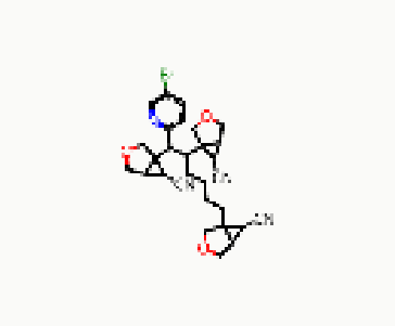 N#CC1C2COCC12CCCCC(C(c1ccc(Br)cn1)C12COCC1C2C#N)C12COCC1C2C#N